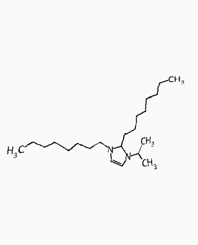 CCCCCCCCC1N(CCCCCCCC)C=CN1C(C)C